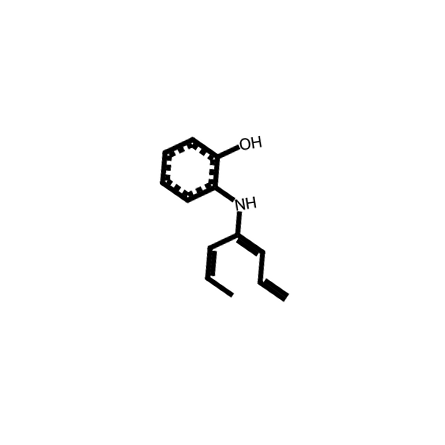 C=C/C=C(\C=C/C)Nc1ccccc1O